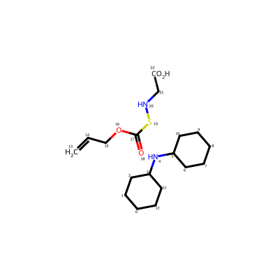 C1CCC(NC2CCCCC2)CC1.C=CCOC(=O)SNCC(=O)O